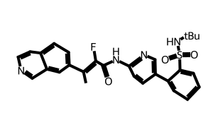 CC(=C(F)C(=O)Nc1ccc(-c2ccccc2S(=O)(=O)NC(C)(C)C)cn1)c1ccc2ccncc2c1